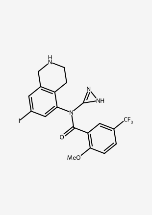 COc1ccc(C(F)(F)F)cc1C(=O)N(C1=NN1)c1cc(I)cc2c1CCNC2